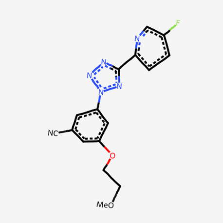 COCCOc1cc(C#N)cc(-n2nnc(-c3ccc(F)cn3)n2)c1